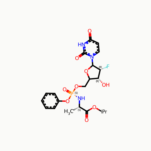 CC(C)OC(=O)[C@H](C)N[P@](=O)(OCC1OC(n2ccc(=O)[nH]c2=O)[C@H](F)[C@@H]1O)Oc1ccccc1